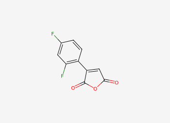 O=C1C=C(c2ccc(F)cc2F)C(=O)O1